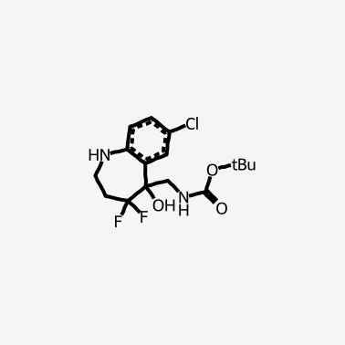 CC(C)(C)OC(=O)NCC1(O)c2cc(Cl)ccc2NCCC1(F)F